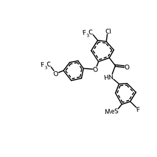 CSc1cc(NC(=O)c2cc(Cl)c(C(F)(F)F)cc2Oc2ccc(OC(F)(F)F)cc2)ccc1F